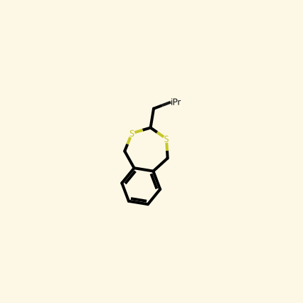 CC(C)CC1SCc2ccccc2CS1